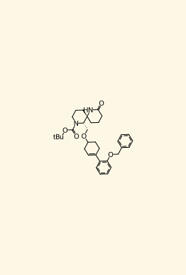 CC(C)(C)OC(=O)N1CCC[C@@]2(CCCC(=O)N2)[C@@H]1COC1CC=C(c2ccccc2OCc2ccccc2)CC1